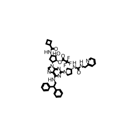 O=C(NCc1ccccn1)N[C@@H]1CCN(c2nc(NCC(c3ccccc3)c3ccccc3)c3ncn([C@@H]4C[C@H](NC(=O)C5CCC5)[C@@H](O)[C@H]4OC(=O)C(F)(F)F)c3n2)C1